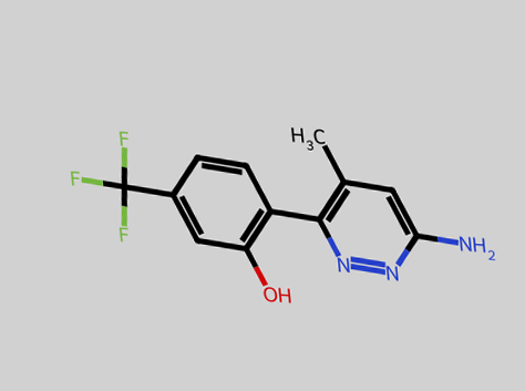 Cc1cc(N)nnc1-c1ccc(C(F)(F)F)cc1O